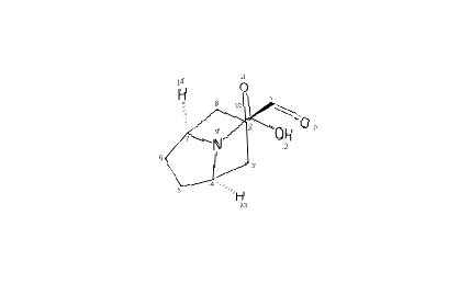 O=C[C@H]1C[C@H]2CC[C@@H](C1)N2C(=O)O